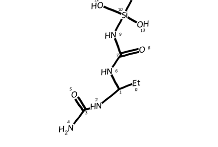 CCC(NC(N)=O)NC(=O)N[Si](O)(O)O